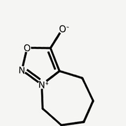 [O-]c1on[n+]2c1CCCCC2